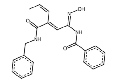 C\C=C/C(=C\C(=N\O)NC(=O)c1ccccc1)C(=O)NCc1ccccc1